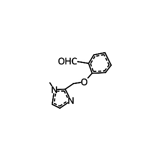 Cn1ccnc1COc1ccccc1C=O